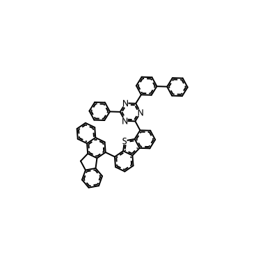 c1ccc(-c2cccc(-c3nc(-c4ccccc4)nc(-c4cccc5c4sc4c(-c6cc7ccccc7c7c6-c6ccccc6C7)cccc45)n3)c2)cc1